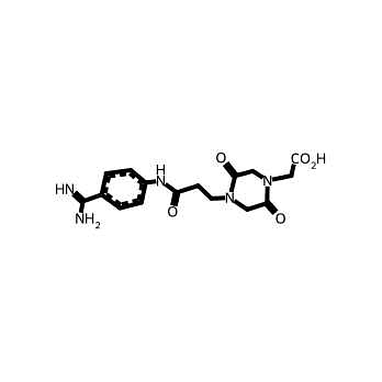 N=C(N)c1ccc(NC(=O)CCN2CC(=O)N(CC(=O)O)CC2=O)cc1